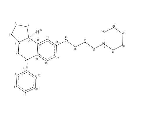 c1ccc([C@@H]2CN3CCC[C@H]3c3cc(OCCCN4CCCCC4)ccc32)nc1